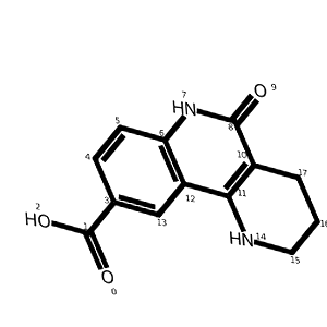 O=C(O)c1ccc2[nH]c(=O)c3c(c2c1)NCCC3